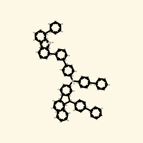 c1ccc(-c2ccc(C3c4cc(N(c5ccc(-c6ccccc6)cc5)c5ccc(-c6cccc(-c7cccc8c7oc7c(-c9ccccc9)cccc78)c6)cc5)ccc4-c4ccc5ccccc5c43)cc2)cc1